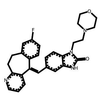 O=c1[nH]c2cc(/C=C3\c4ccc(F)cc4CCc4ncccc43)ccc2n1CCN1CCOCC1